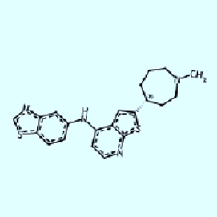 CN1CCC[C@@H](c2cc3c(Nc4ccc5scnc5c4)ccnc3s2)CC1